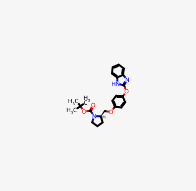 CC(C)(C)OC(=O)N1CCC[C@@H]1COc1ccc(Oc2nc3ccccc3[nH]2)cc1